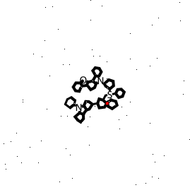 C1=CC(n2c3ccccc3c3cc(-c4cccc(CS(c5ccccc5)(c5ccccc5)c5cccc(-n6c7ccccc7c7c8oc9ccccc9c8ccc76)c5)c4)ccc32)=CCC1